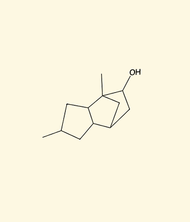 CC1CC2C3CC(O)C(C)(C3)C2C1